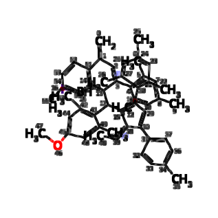 C=C(/C=C(/c1c(C)cc(C)cc1C)C(CBI)C(C1=C(c2c(C)cc(C)cc2C)C=C(c2ccc(C)cc2)/C1=C/C)c1c(C)cc(OC)cc1C)c1ccc(C)cc1